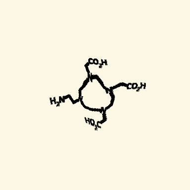 NCCN1CCN(CC(=O)O)CCN(CC(=O)O)CCN(CC(=O)O)CC1